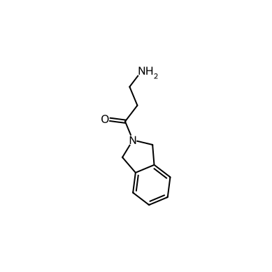 NCCC(=O)N1Cc2ccccc2C1